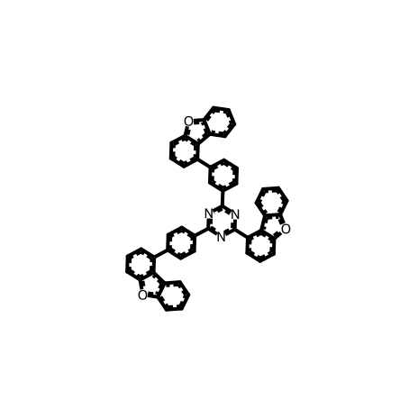 c1cc(-c2nc(-c3ccc(-c4cccc5oc6ccccc6c45)cc3)nc(-c3cccc4oc5ccccc5c34)n2)cc(-c2cccc3oc4ccccc4c23)c1